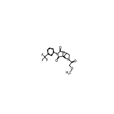 COCC(=O)N1CC2CC1=C1C(=O)N(c3cccc(C(F)(F)F)c3)C(=O)N12